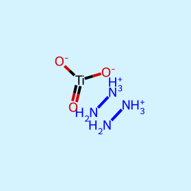 N[NH3+].N[NH3+].[O]=[Ti]([O-])[O-]